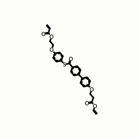 C=COC(=O)CCOc1ccc(-c2ccc(C(=O)Sc3ccc(OCCOC(=O)C=C)cc3)cc2)cc1